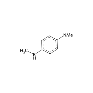 CBc1ccc(NC)cc1